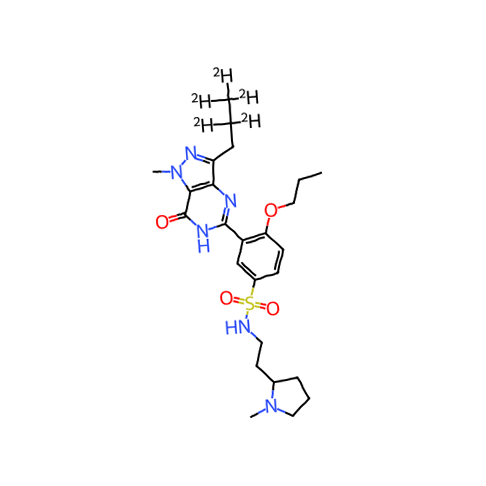 [2H]C([2H])([2H])C([2H])([2H])Cc1nn(C)c2c(=O)[nH]c(-c3cc(S(=O)(=O)NCCC4CCCN4C)ccc3OCCC)nc12